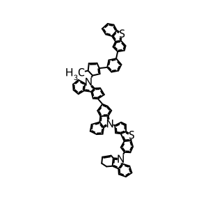 CC1C=CC(c2cccc(-c3ccc4sc5ccccc5c4c3)c2)=CC1n1c2ccccc2c2cc(-c3ccc4c(c3)c3ccccc3n4-c3ccc4sc5ccc(-n6c7c(c8ccccc86)CCC=C7)cc5c4c3)ccc21